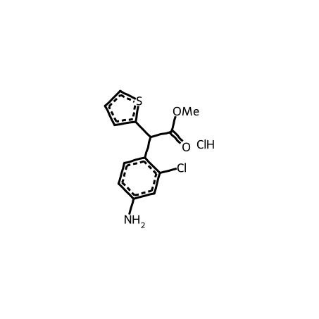 COC(=O)C(c1cccs1)c1ccc(N)cc1Cl.Cl